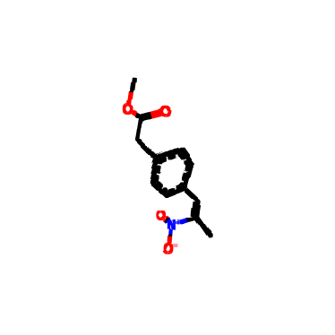 COC(=O)Cc1ccc(C=C(C)[N+](=O)[O-])cc1